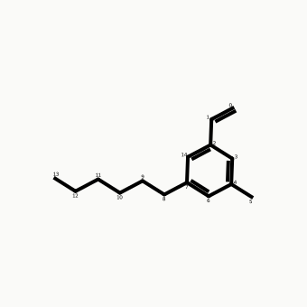 C=Cc1cc(C)cc(CCCCCC)c1